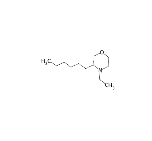 CCCCCCC1COCCN1CC